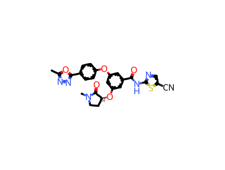 Cc1nnc(-c2ccc(Oc3cc(O[C@H]4CCN(C)C4=O)cc(C(=O)Nc4ncc(C#N)s4)c3)cc2)o1